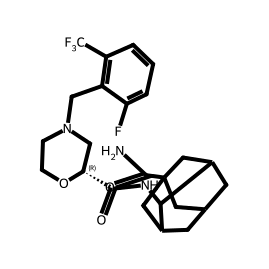 NC(=O)C12CC3CC(C1)C(NC(=O)[C@H]1CN(Cc4c(F)cccc4C(F)(F)F)CCO1)C(C3)C2